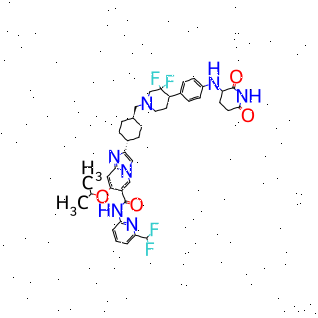 CC(C)Oc1cc2nc([C@H]3CC[C@H](CN4CCC(c5ccc(NC6CCC(=O)NC6=O)cc5)C(F)(F)C4)CC3)cn2cc1C(=O)Nc1cccc(C(F)F)n1